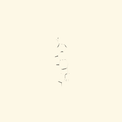 CC(=O)Nc1nc2c(s1)C(=O)C(C(=O)c1cccc(N=O)c1)CC2